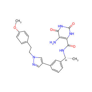 COc1ccc(CCn2cc(-c3cccc([C@@H](C)NC(=O)c4[nH]c(=O)[nH]c(=O)c4N)c3)cn2)cc1